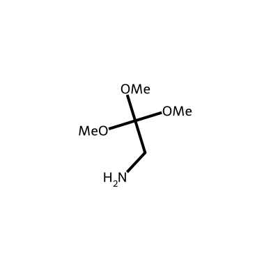 COC(CN)(OC)OC